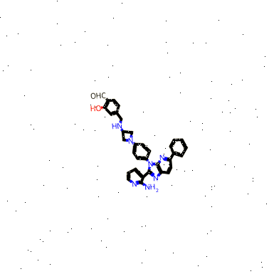 Nc1ncccc1-c1nc2ccc(-c3ccccc3)nc2n1-c1ccc(N2CC(NCc3ccc(C=O)c(O)c3)C2)cc1